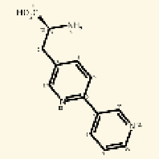 N[C@@H](Cc1ccc(-c2cccnc2)nc1)C(=O)O